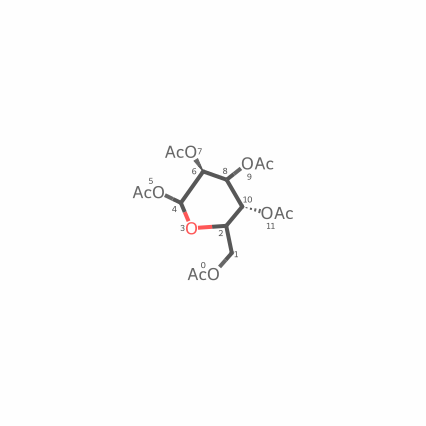 CC(=O)OCC1OC(OC(C)=O)[C@@H](OC(C)=O)C(OC(C)=O)[C@@H]1OC(C)=O